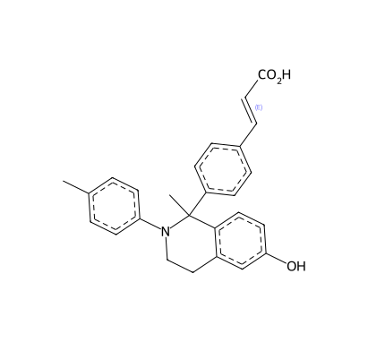 Cc1ccc(N2CCc3cc(O)ccc3C2(C)c2ccc(/C=C/C(=O)O)cc2)cc1